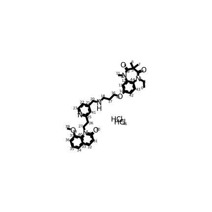 CCN1C(=O)C(C)(C)C(=O)N(C)c2cc(OCCCNCc3ccnc(CCn4c(=O)ccc5cccc(OC)c54)c3)ccc21.Cl.Cl